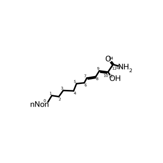 CCCCCCCCCCCCCCCC=CC=C(O)C(N)=O